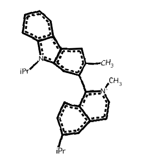 Cc1cc2c3ccccc3n(C(C)C)c2cc1-c1c2ccc(C(C)C)cc2cc[n+]1C